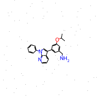 CC(C)Oc1cc(CN)cc(-c2cn(-c3ccccc3)c3ncccc23)c1